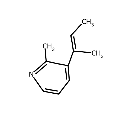 CC=C(C)c1cccnc1C